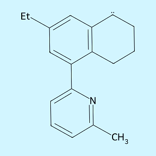 CCc1cc2c(c(-c3cccc(C)n3)c1)CCC[C]2